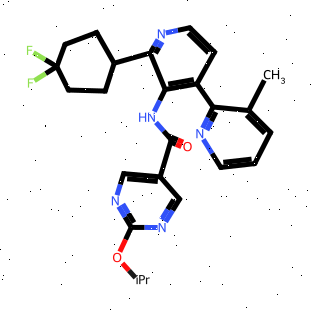 Cc1cccnc1-c1ccnc(C2CCC(F)(F)CC2)c1NC(=O)c1cnc(OC(C)C)nc1